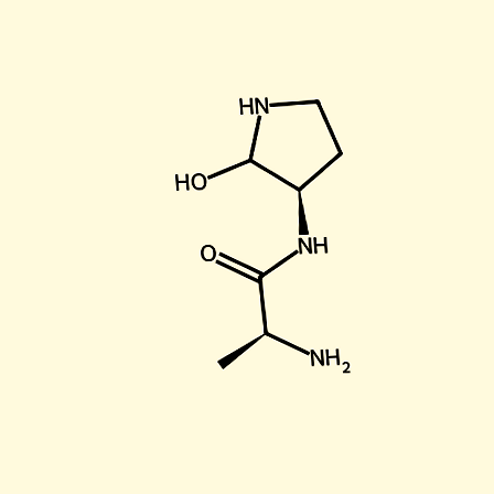 C[C@H](N)C(=O)N[C@@H]1CCNC1O